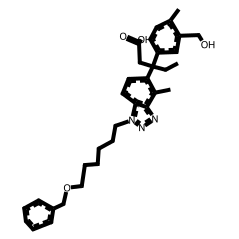 CCC(CC(=O)O)(c1ccc(C)c(CO)c1)c1ccc2c(nnn2CCCCCCOCc2ccccc2)c1C